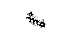 NC1=C(/C=C(\N)Oc2c(F)cccc2F)CCCC1C(=O)N1CCC1